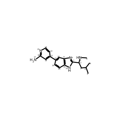 CNC(CC(C)C)c1nc2cc(-c3ccnc(N)c3)ccc2[nH]1